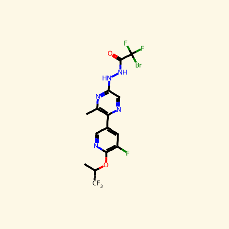 Cc1nc(NNC(=O)C(F)(F)Br)cnc1-c1cnc(OC(C)C(F)(F)F)c(F)c1